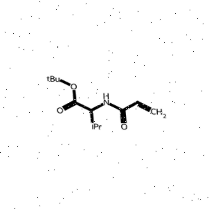 C=CC(=O)NC(C(=O)OC(C)(C)C)C(C)C